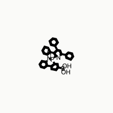 OB(O)c1ccc2c(c1)P(c1nc(-c3ccccc3)cc(-c3ccccc3)c1-c1ccccc1)Nc1ccccc1-2